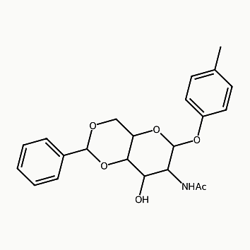 CC(=O)NC1C(Oc2ccc(C)cc2)OC2COC(c3ccccc3)OC2C1O